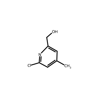 Cc1cc(Cl)nc(CO)c1